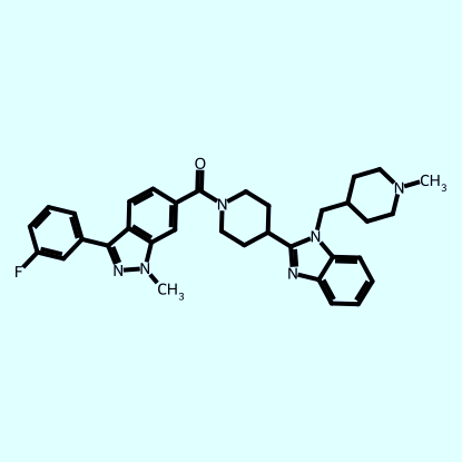 CN1CCC(Cn2c(C3CCN(C(=O)c4ccc5c(-c6cccc(F)c6)nn(C)c5c4)CC3)nc3ccccc32)CC1